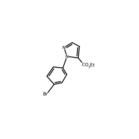 CCOC(=O)c1ccnn1-c1ccc(Br)cc1